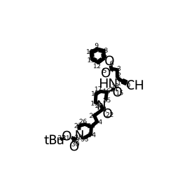 C#CC(CC(=O)Oc1ccccc1)NC(=O)[C@@H]1CCCN(C(=O)CCC2CCN(C(=O)OC(C)(C)C)CC2)C1